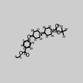 CCOC(=O)c1ccc(OC2CCN(C3CCN(C(=O)OC(C)(C)C)CC3)CC2)cc1